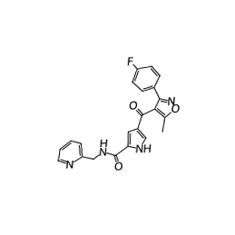 Cc1onc(-c2ccc(F)cc2)c1C(=O)c1c[nH]c(C(=O)NCc2ccccn2)c1